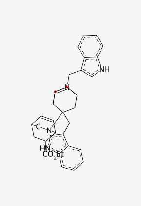 CCOC(=O)C1CC2C=CC1N(C1(Cc3c[nH]c4ccccc34)CC3C=CC1CN3Cc1c[nH]c3ccccc13)C2